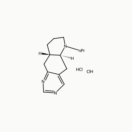 CCCN1CCC[C@H]2Cc3ncncc3C[C@@H]21.Cl.Cl